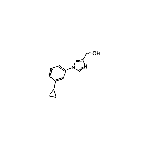 OCc1cn(-c2cccc(C3CC3)c2)cn1